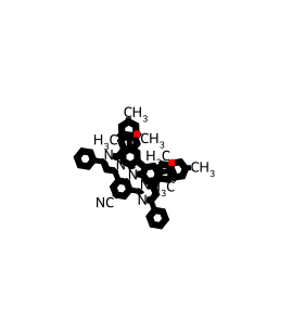 Cc1cc(C)c(-c2ccc3c(c2)c2cc(-c4c(C)cc(C)cc4C)ccc2n3-c2c(-c3cc(-c4ccccc4)nc(-c4ccccc4)n3)cc(C#N)cc2-c2nc(-c3ccccc3)cc(-c3ccccc3)n2)c(C)c1